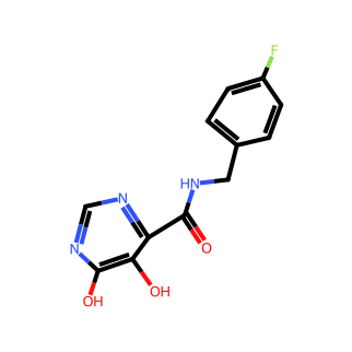 O=C(NCc1ccc(F)cc1)c1ncnc(O)c1O